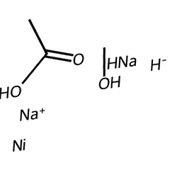 CC(=O)O.CO.[H-].[Na+].[NaH].[Ni]